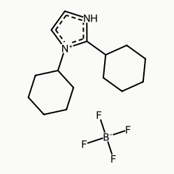 F[B-](F)(F)F.c1c[n+](C2CCCCC2)c(C2CCCCC2)[nH]1